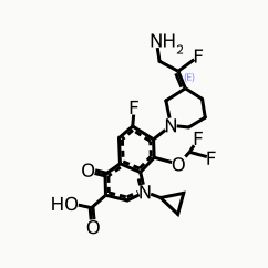 NC/C(F)=C1/CCCN(c2c(F)cc3c(=O)c(C(=O)O)cn(C4CC4)c3c2OC(F)F)C1